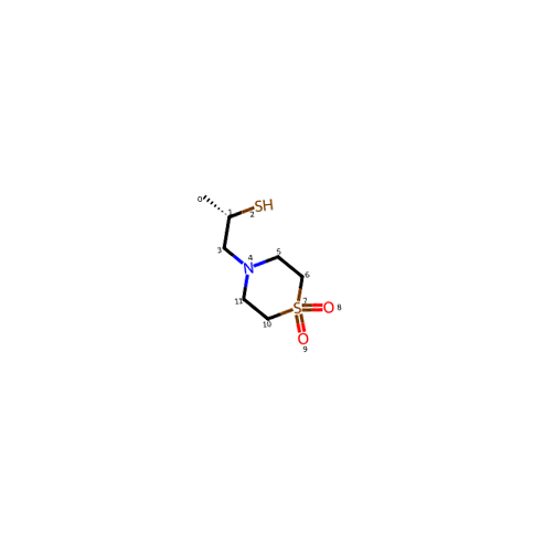 C[C@H](S)CN1CCS(=O)(=O)CC1